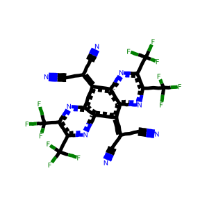 N#CC(C#N)=c1c2nc(C(F)(F)F)c(C(F)(F)F)nc2c(=C(C#N)C#N)c2nc(C(F)(F)F)c(C(F)(F)F)nc12